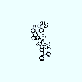 CC1(C)c2ccccc2-c2ccc(N(c3ccc4c(c3)C(C)(C)c3c-4oc4c3C(C)(C)c3cc(N(c5ccccc5)c5ccccc5)ccc3-4)c3ccccc3-c3ccccc3)cc21